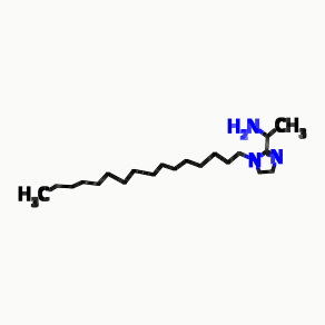 CCCCCCCCCCCCCCCCN1CCN=C1C(C)N